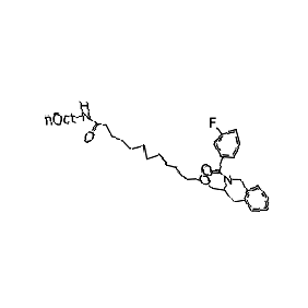 CCCCCCCCNC(=O)CCCCCCCCCCOCC1Cc2ccccc2CN1C(=O)c1cccc(F)c1